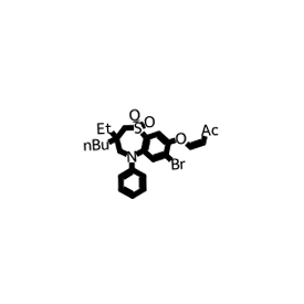 CCCCC1(CC)CN(c2ccccc2)c2cc(Br)c(O/C=C\C(C)=O)cc2S(=O)(=O)C1